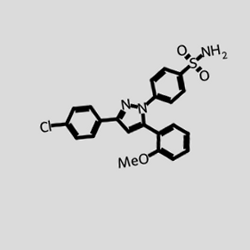 COc1ccccc1-c1cc(-c2ccc(Cl)cc2)nn1-c1ccc(S(N)(=O)=O)cc1